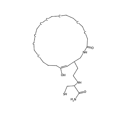 NC(=O)C(CS)NCCC1/C=C(/O)CCCCCCCCCCCCCCCCCCC(=O)NC1